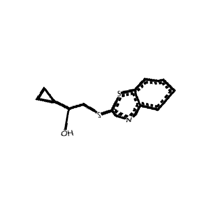 OC(CSc1nc2ccccc2s1)C1CC1